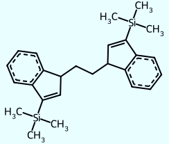 C[Si](C)(C)C1=CC(CCC2C=C([Si](C)(C)C)c3ccccc32)c2ccccc21